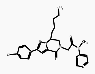 CCCCCC1CN(CC(=O)N(C)c2ccncc2)C(=O)c2cc(-c3ccc(Cl)cc3)nn21